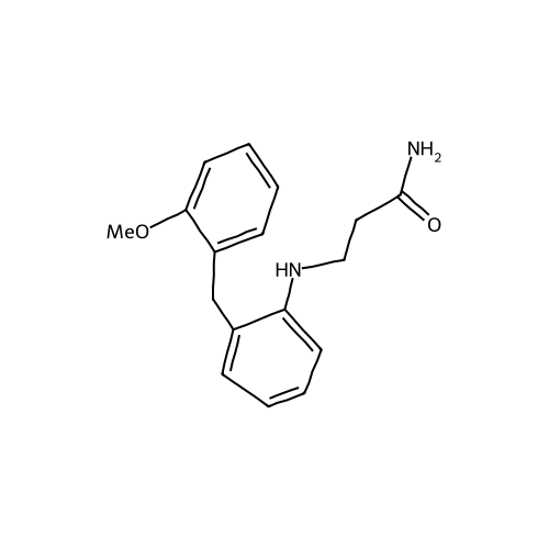 COc1ccccc1Cc1ccccc1NCCC(N)=O